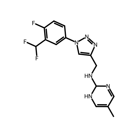 CC1=CNC(NCc2cn(-c3ccc(F)c(C(F)F)c3)nn2)N=C1